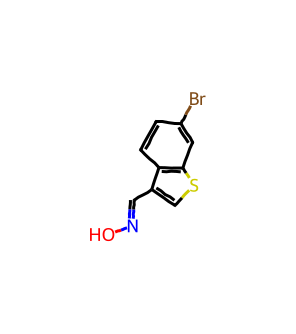 ON=Cc1csc2cc(Br)ccc12